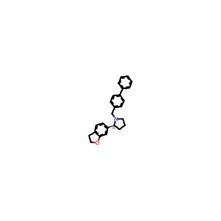 c1ccc(-c2ccc(CN3CCC[C@H]3c3ccc4c(c3)OCC4)cc2)cc1